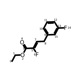 CCOC(=O)C(F)=CCc1cccc(F)c1